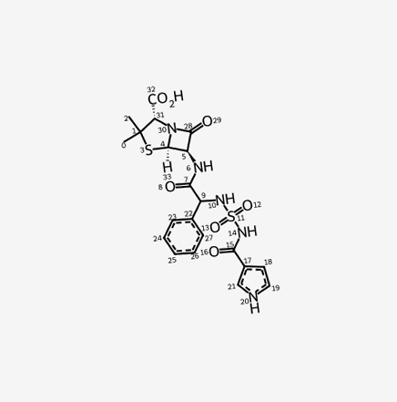 CC1(C)S[C@@H]2[C@H](NC(=O)C(NS(=O)(=O)NC(=O)c3cc[nH]c3)c3ccccc3)C(=O)N2[C@H]1C(=O)O